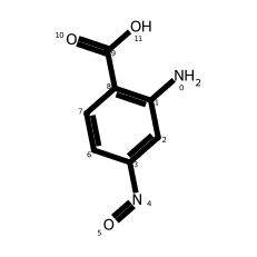 Nc1cc(N=O)ccc1C(=O)O